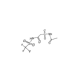 CC(=O)NS(=O)(=O)CC(=O)NS(=O)(=O)C(F)(F)F